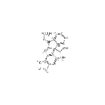 O=C(O)CN1C(=O)C(CO)(c2cc3c(cc2O)OCO3)c2ccccc21